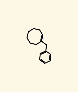 C1=C(/Cc2ccccc2)CCCCCC/1